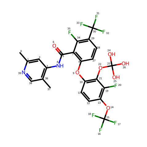 Cc1cc(NC(=O)c2c(Oc3ccc(OC(F)(F)F)c(F)c3OC(O)(O)O)ccc(C(F)(F)F)c2F)c(C)cn1